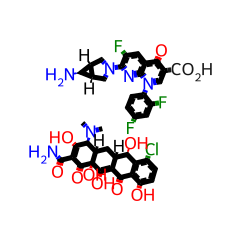 CN(C)[C@@H]1C(O)=C(C(N)=O)C(=O)[C@@]2(O)C(O)=C3C(=O)c4c(O)ccc(Cl)c4[C@@H](O)[C@H]3C[C@@H]12.N[C@@H]1[C@H]2CN(c3nc4c(cc3F)c(=O)c(C(=O)O)cn4-c3ccc(F)cc3F)C[C@@H]12